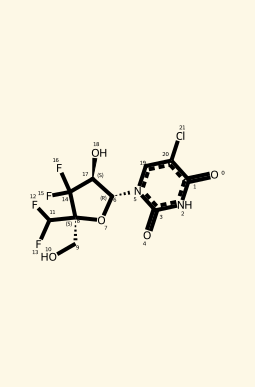 O=c1[nH]c(=O)n([C@@H]2O[C@@](CO)(C(F)F)C(F)(F)[C@H]2O)cc1Cl